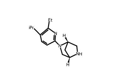 CCc1nc(N2C[C@@H]3C[C@H]2CN3)ccc1C(C)C